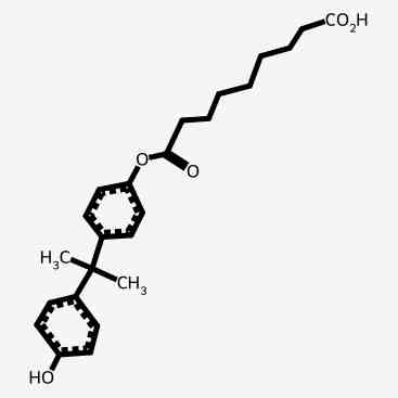 CC(C)(c1ccc(O)cc1)c1ccc(OC(=O)CCCCCCCC(=O)O)cc1